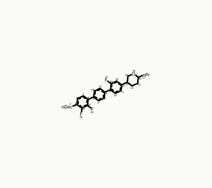 CCCCCCCCCCc1ccc(-c2ccc(-c3ccc(C4CCC(CCC)OC4)cc3F)cc2)c(F)c1F